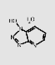 O.On1nnc2ncccc21